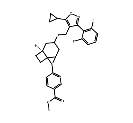 COC(=O)c1ccc(N2C3CC(OCc4c(-c5c(F)cccc5F)noc4C4CC4)C[C@@H]4CCC342)nc1